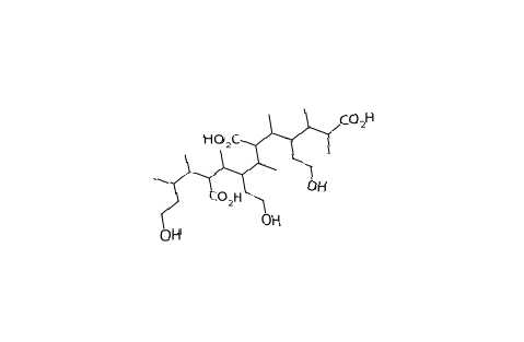 CC(CCO)C(C)C(C(=O)O)C(C)C(CCO)C(C)C(C(=O)O)C(C)C(CCO)C(C)C(C)C(=O)O